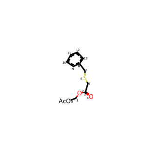 CC(=O)OCOC(=O)CSCc1ccccc1